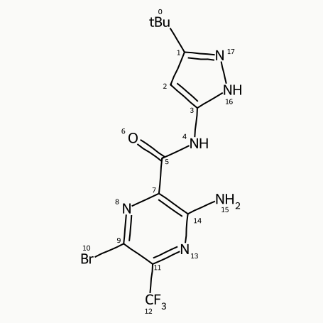 CC(C)(C)c1cc(NC(=O)c2nc(Br)c(C(F)(F)F)nc2N)[nH]n1